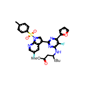 COC(=O)CC(Nc1nc(-c2cn(S(=O)(=O)c3ccc(C)cc3)c3ncc(F)cc23)nc(-c2ccco2)c1F)C(C)(C)C